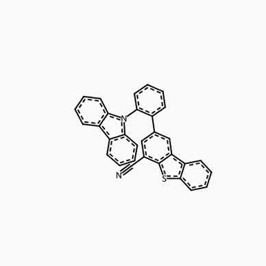 N#Cc1cc(-c2ccccc2-n2c3ccccc3c3ccccc32)cc2c1sc1ccccc12